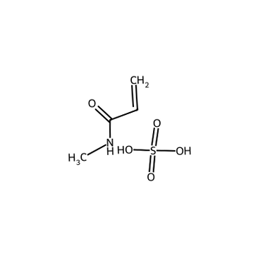 C=CC(=O)NC.O=S(=O)(O)O